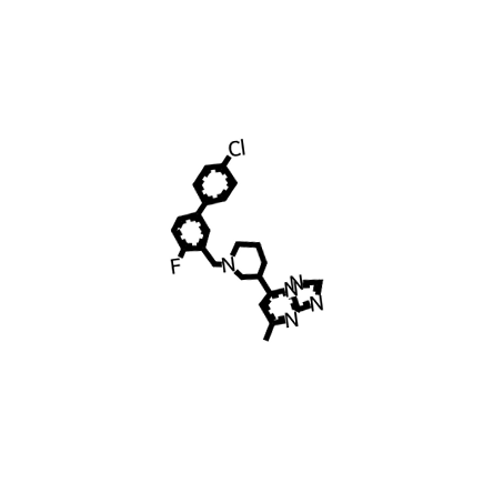 Cc1cc(C2CCCN(Cc3cc(-c4ccc(Cl)cc4)ccc3F)C2)n2ncnc2n1